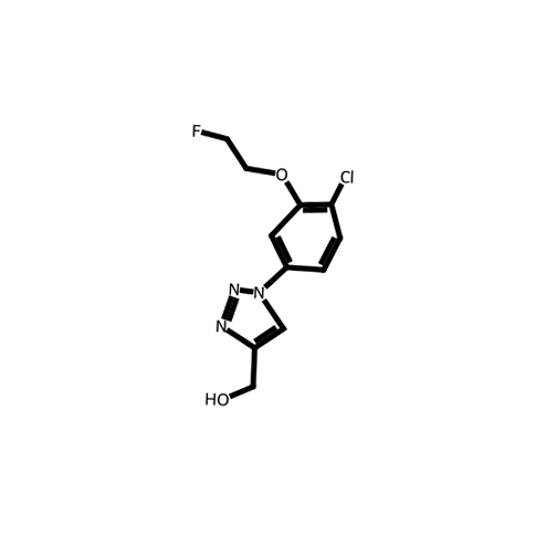 OCc1cn(-c2ccc(Cl)c(OCCF)c2)nn1